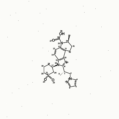 C[C@@H](Cn1cccn1)c1nc2c3c(ccc2n1[C@@H]1CCCS(=O)(=O)C1)N(C(=O)O)[C@@H](C)CC3